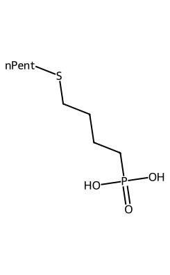 CCCCCSCCCCP(=O)(O)O